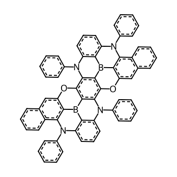 c1ccc(N2c3cccc4c3B3c5c(c6c7c(c52)Oc2cc5ccccc5c5c2B7c2c(cccc2N5c2ccccc2)N6c2ccccc2)Oc2cc5ccccc5c(c23)N4c2ccccc2)cc1